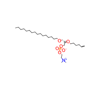 C=CCCCCO[C@@H](COCCCCCCCCCCCCCCCC)COP(=O)([O-])OCC[N+](C)(C)C